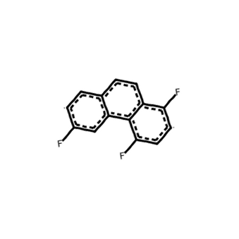 Fc1[c]cc2ccc3c(F)[c]cc(F)c3c2c1